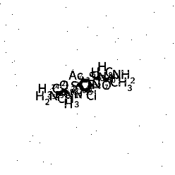 CC(=O)c1c2sc(NC(=O)C(C)(C)N)nc2c(Cl)c2nc(NC(=O)C(C)(C)N)sc12